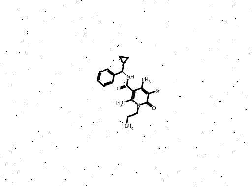 CCCn1c(C)c(C(=O)N[C@H](c2ccccc2)C2CC2)c(C)c(Br)c1=O